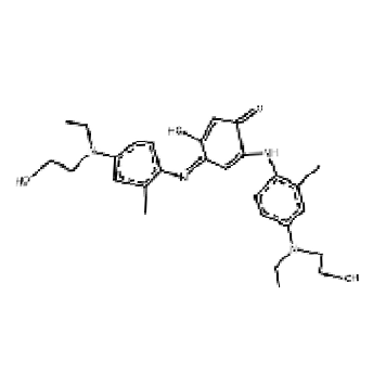 CCN(CCO)c1ccc(N=C2C=C(Nc3ccc(N(CC)CCO)cc3C)C(=O)C=C2O)c(C)c1